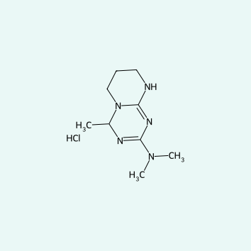 CC1N=C(N(C)C)N=C2NCCCN21.Cl